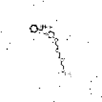 CN[C@H](CN1CC[C@H](OCCOCCOCCOC)C1)c1ccccc1